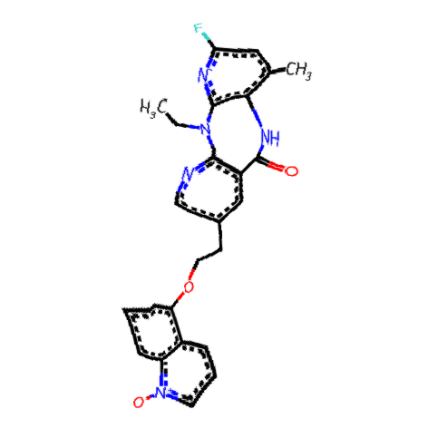 CCN1c2ncc(CCOc3cccc4c3ccc[n+]4[O-])cc2C(=O)Nc2c(C)cc(F)nc21